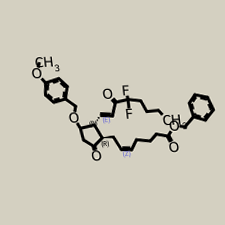 CCCCC(F)(F)C(=O)/C=C/[C@H]1C(OCc2ccc(OC)cc2)CC(=O)[C@@H]1C/C=C\CCCC(=O)OCc1ccccc1